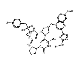 C=C[C@@H]1C[C@]1(NC(=O)[C@@H]1C[C@@H](Oc2cc(-c3csc(NC(C)C)n3)nc3cc(OC)ccc23)CN1C(=O)[C@@H](NC(=O)OC1CCCC1)C(C)(C)C)P(=O)(O)Cc1ccc(Cl)cc1